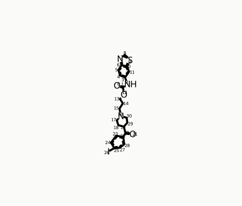 O=C(Nc1ccc2ncsc2c1)OCCCN1CCC(C(=O)c2ccc(I)cc2)CC1